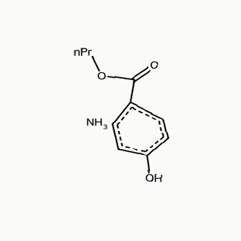 CCCOC(=O)c1ccc(O)cc1.N